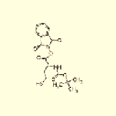 CC(C)(C)OC(=O)NC(CCS)C(=O)ON1C(=O)c2ccccc2C1=O